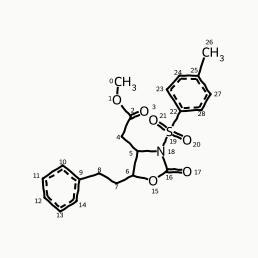 COC(=O)CC1C(CCc2ccccc2)OC(=O)N1S(=O)(=O)c1ccc(C)cc1